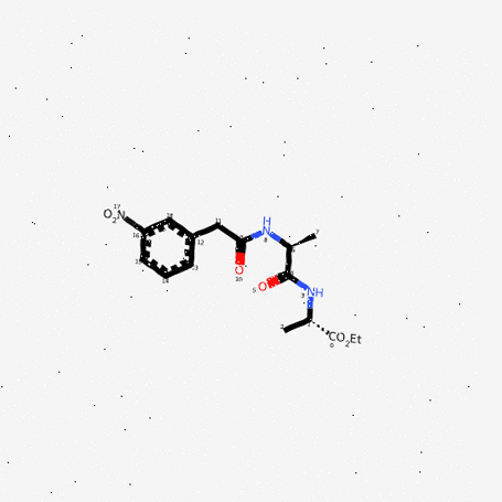 CCOC(=O)[C@H](C)NC(=O)[C@H](C)NC(=O)Cc1cccc([N+](=O)[O-])c1